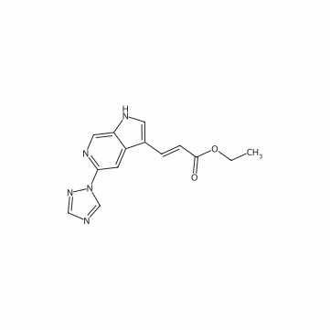 CCOC(=O)C=Cc1c[nH]c2cnc(-n3cncn3)cc12